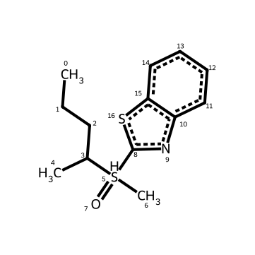 CCCC(C)[SH](C)(=O)c1nc2ccccc2s1